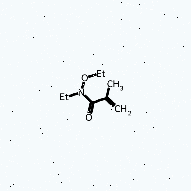 C=C(C)C(=O)N(CC)OCC